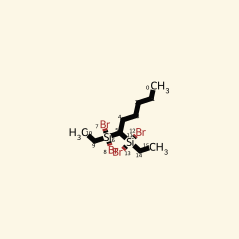 CCCCCC([Si](Br)(Br)CC)[Si](Br)(Br)CC